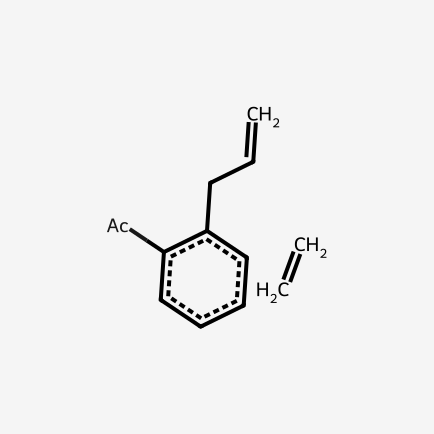 C=C.C=CCc1ccccc1C(C)=O